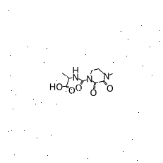 CC(NC(=O)N1CCN(C)C(=O)C1=O)C(=O)O